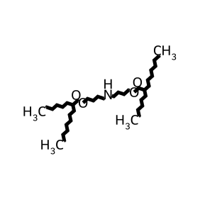 CCCCCCCCC(CCCCCC)C(=O)OCCCCNCCCCOC(=O)C(CCCCCC)CCCCCCCC